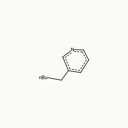 CCCCCc1[c]nccc1